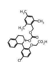 Cc1cc(C)c(COC(=O)ON2CCc3ccccc3C2c2cc(Cl)ccc2OCC(=O)O)c(C)c1